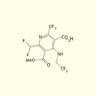 COC(=O)c1c(C(F)F)nc(C(F)(F)F)c(C(=O)O)c1NCC(F)(F)F